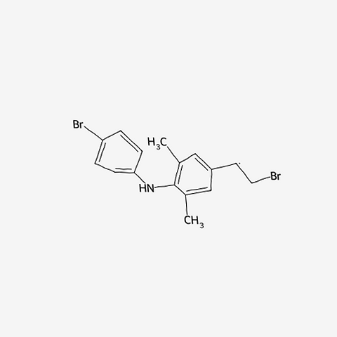 Cc1cc([CH]CBr)cc(C)c1Nc1ccc(Br)cc1